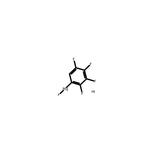 I.[F][Mg][c]1cc(F)c(F)c(F)c1F